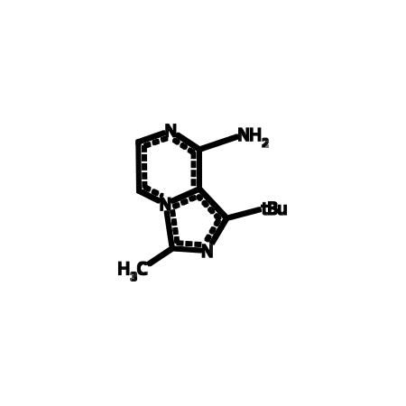 Cc1nc(C(C)(C)C)c2c(N)nccn12